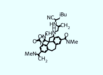 C=C(CNCCC1(c2nc(=O)on2C)c2ccc(C(=C)NC)cc2CCc2cc(C(=O)NC)ccc21)NC(C#N)C[C@@H](C)CC